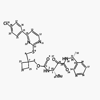 CCCC[C@H](NC(=O)OCC1(CSc2nccc(-c3ccc(Cl)cc3)n2)CCC1)C(=O)C(=O)N[C@H](C)c1ccccc1